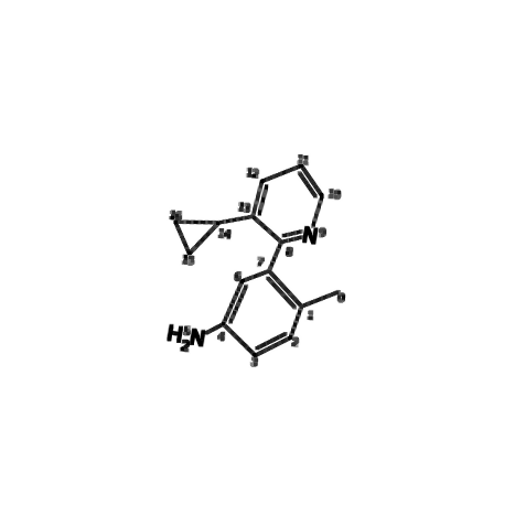 Cc1ccc(N)cc1-c1ncccc1C1CC1